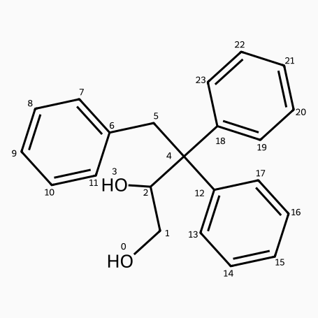 OCC(O)C(Cc1ccccc1)(c1ccccc1)c1ccccc1